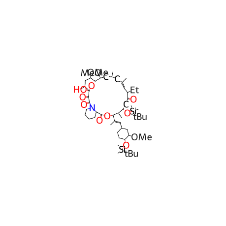 CCC1/C=C(\C)CC(C)CC(OC)C2OC(O)(C(=O)C(=O)N3CCCCC3C(=O)OC(C(C)=CC3CCC(O[Si](C)(C)C(C)(C)C)C(OC)C3)C(C)C(O[Si](C)(C)C(C)(C)C)CC1=O)C(C)CC2OC